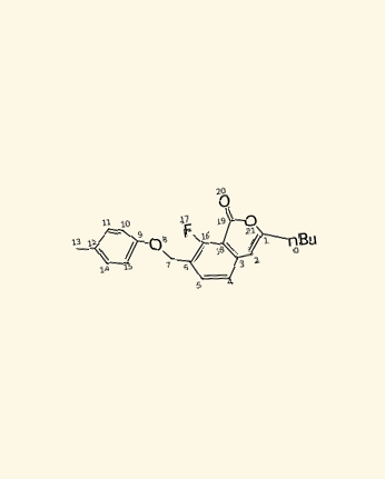 CCCCc1cc2ccc(COc3ccc(C)cc3)c(F)c2c(=O)o1